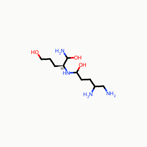 NCC(N)CCC(O)N[C@@H](CCCO)C(N)O